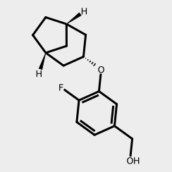 OCc1ccc(F)c(O[C@@H]2C[C@@H]3CC[C@@H](C3)C2)c1